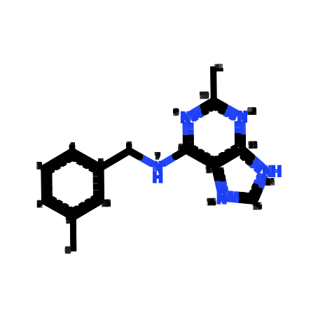 Cc1cccc(CNc2nc(C)nc3[nH]cnc23)c1